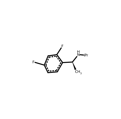 CC(C)N[C@@H](C)c1ccc(F)cc1F